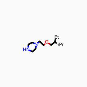 CCCC(CC)COCCN1CCNCC1